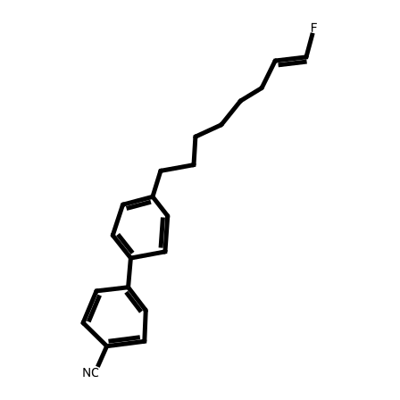 N#Cc1ccc(-c2ccc(CCCCCCC=CF)cc2)cc1